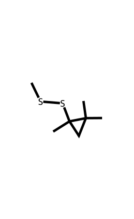 CSSC1(C)CC1(C)C